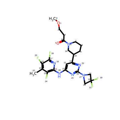 COCCC(=O)N1CCCC(c2cc(Nc3nc(F)c(F)c(C)c3F)nc(N3CC(F)(F)C3)n2)C1